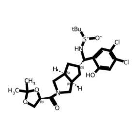 CC1(C)OC[C@H](C(=O)N2C[C@H]3C[C@H](C(N[S+]([O-])C(C)(C)C)c4cc(Cl)c(Cl)cc4O)C[C@H]3C2)O1